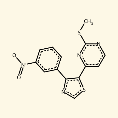 CSc1nccc(-c2scnc2-c2cccc([N+](=O)[O-])c2)n1